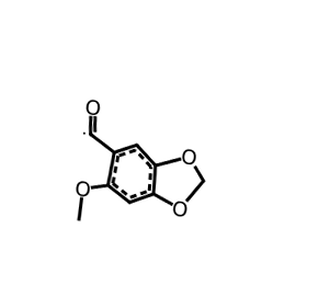 COc1cc2c(cc1[C]=O)OCO2